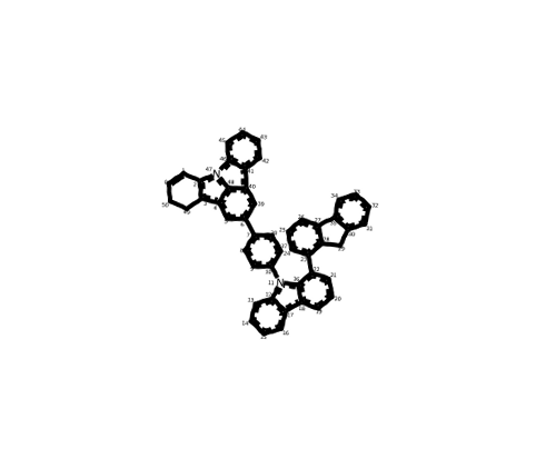 C1=Cc2c(c3cc(-c4ccc(-n5c6ccccc6c6cccc(-c7cccc8c7Cc7ccccc7-8)c65)cc4)cc4c5ccccc5n2c34)CC1